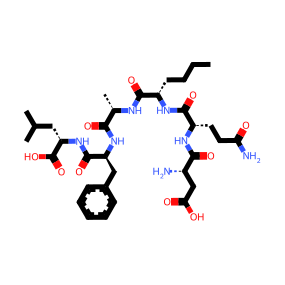 CCCC[C@H](NC(=O)[C@H](CCC(N)=O)NC(=O)[C@@H](N)CC(=O)O)C(=O)N[C@@H](C)C(=O)N[C@@H](Cc1ccccc1)C(=O)N[C@@H](CC(C)C)C(=O)O